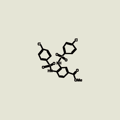 COC(=O)c1ccc(NS(=O)(=O)c2ccc(Cl)cc2)c(NS(=O)(=O)c2ccc(Cl)cc2)c1